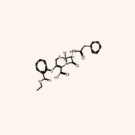 CCOC(=O)c1ccccc1SC1=C(C(=O)O)N2C(=O)[C@@H](NC(=O)Cc3ccccc3)[C@H]2SC1